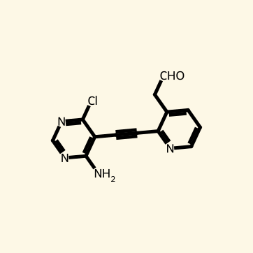 Nc1ncnc(Cl)c1C#Cc1ncccc1CC=O